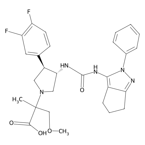 COCC(C)(C(=O)O)N1C[C@@H](NC(=O)Nc2c3c(nn2-c2ccccc2)CCC3)[C@H](c2ccc(F)c(F)c2)C1